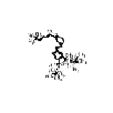 CC(=CC=CC(C)(C)O)c1cccc(C=Cc2ccc(C(C)(C)O[SiH2]C(C)(C)C)c(C(C)(C)O[SiH2]C(C)(C)C)c2)c1